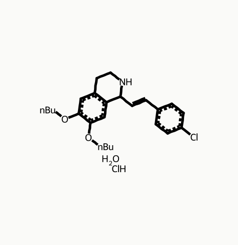 CCCCOc1cc2c(cc1OCCCC)C(/C=C/c1ccc(Cl)cc1)NCC2.Cl.O